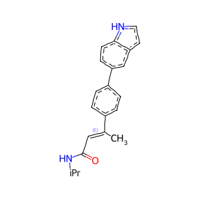 C/C(=C\C(=O)NC(C)C)c1ccc(-c2ccc3[nH]ccc3c2)cc1